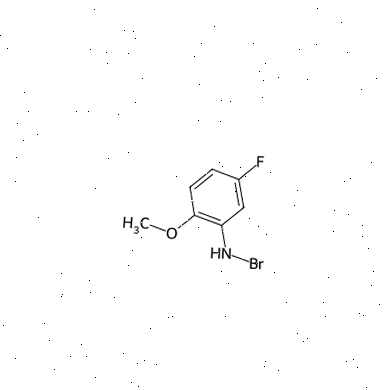 COc1ccc(F)cc1NBr